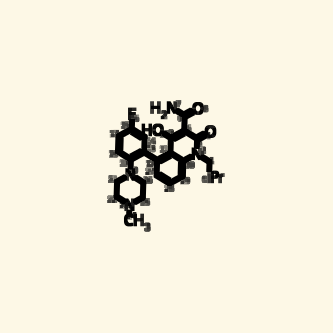 CC(C)Cn1c(=O)c(C(N)=O)c(O)c2c(-c3cc(F)ccc3N3CCN(C)CC3)cccc21